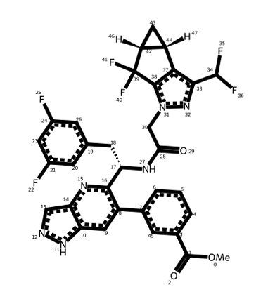 COC(=O)c1cccc(-c2cc3[nH]ncc3nc2[C@H](Cc2cc(F)cc(F)c2)NC(=O)Cn2nc(C(F)F)c3c2C(F)(F)[C@@H]2C[C@H]32)c1